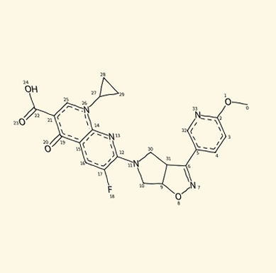 COc1ccc(C2=NOC3CN(c4nc5c(cc4F)c(=O)c(C(=O)O)cn5C4CC4)CC23)cn1